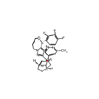 Cc1cc(N2C[C@H]3CC[C@@H](C2)C3Nc2nc3n(n2)CCCO[C@@H]3c2ccc(F)c(F)c2F)cnn1